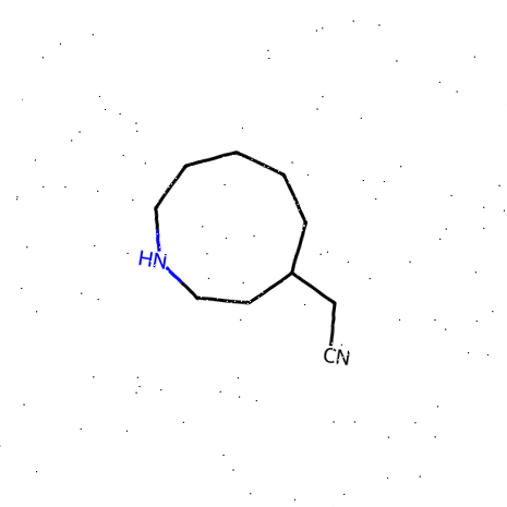 N#CCC1CCCCCNCC1